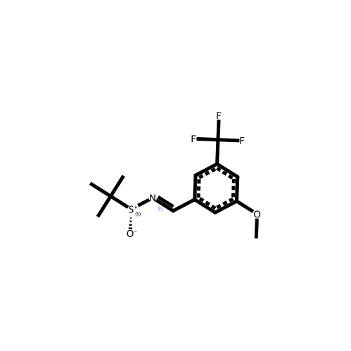 COc1cc(/C=N/[S@+]([O-])C(C)(C)C)cc(C(F)(F)F)c1